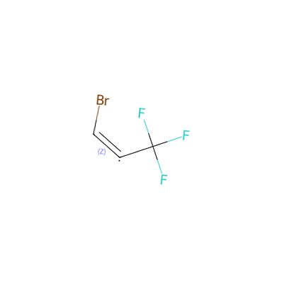 FC(F)(F)/[C]=C\Br